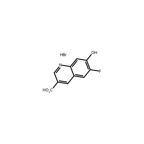 Br.O=C(O)c1cnc2cc(O)c(F)cc2c1